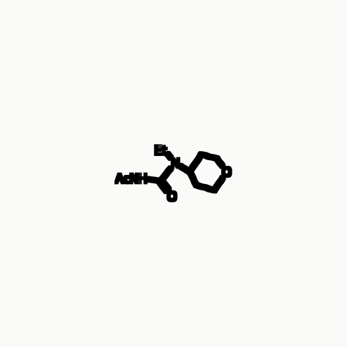 CCN(C(=O)NC(C)=O)C1CCOCC1